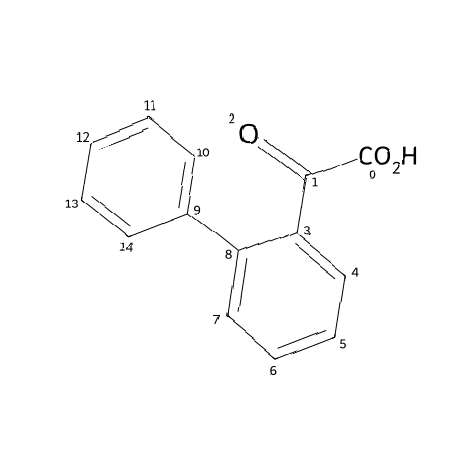 O=C(O)C(=O)c1ccccc1-c1ccccc1